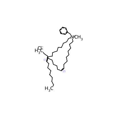 CCCCCCCC/C=C\CCCCCCCC[N+](C)(CCCCCCCC/C=C\CCCCCCCC)Cc1ccccc1.[Cl-]